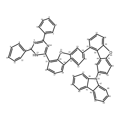 c1ccc(C2=NC(c3ccccc3)NC(c3cccc4c3oc3cc(-c5cccc6oc7ccc(-n8c9ccccc9c9ccccc98)cc7c56)ccc34)=N2)cc1